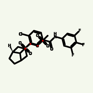 CS(=O)(=O)OC[C@@H]1CC2CC[C@@H](C1)C2S(=O)(=O)c1cc(C(=O)Nc2cc(F)c(F)c(F)c2)ccc1Cl